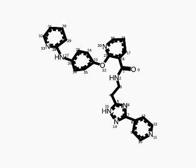 O=C(NCCc1nc(-c2ccncc2)n[nH]1)c1cccnc1Oc1ccc(Nc2ccccn2)cc1